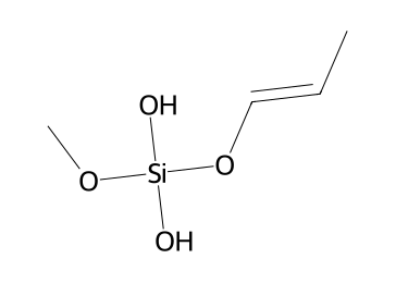 CC=CO[Si](O)(O)OC